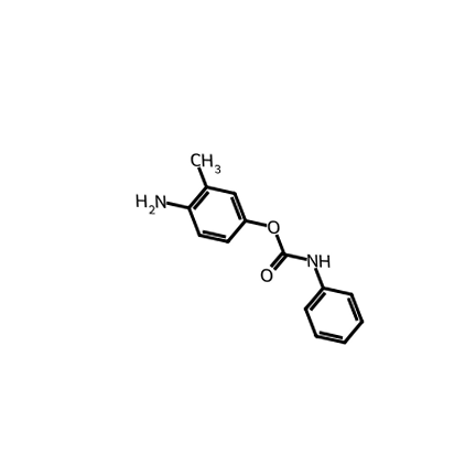 Cc1cc(OC(=O)Nc2ccccc2)ccc1N